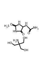 NC(=O)NC1NC(=O)NC1=O.NC(CO)(CO)CO.S